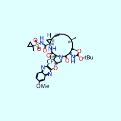 COc1ccc2nc(C(F)(F)F)c(O[C@@H]3C[C@H]4C(=O)N[C@]5(C(=O)NS(=O)(=O)C6(C)CC6)C[C@H]5/C=C\CC[C@@H](C)C[C@@H](C)[C@H](NC(=O)OC(C)(C)C)C(=O)N4C3)nc2c1